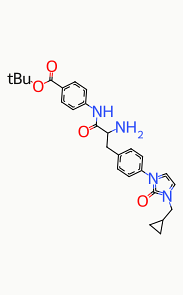 CC(C)(C)OC(=O)c1ccc(NC(=O)C(N)Cc2ccc(-n3ccn(CC4CC4)c3=O)cc2)cc1